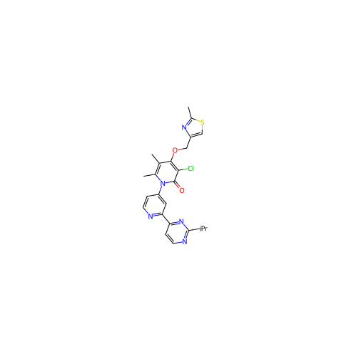 Cc1nc(COc2c(C)c(C)n(-c3ccnc(-c4ccnc(C(C)C)n4)c3)c(=O)c2Cl)cs1